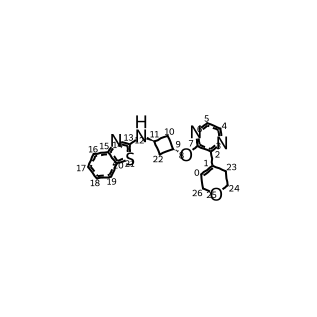 C1=C(c2nccnc2O[C@H]2C[C@H](Nc3nc4ccccc4s3)C2)CCOC1